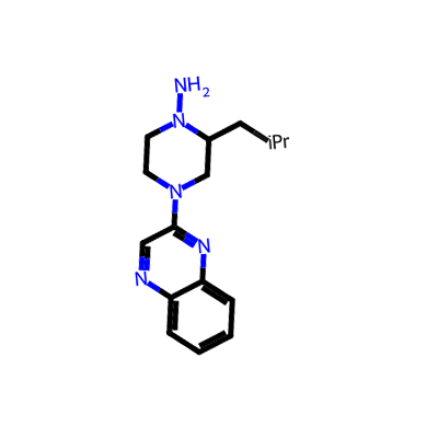 CC(C)CC1CN(c2cnc3ccccc3n2)CCN1N